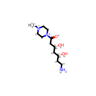 CN1CCN(C(=O)C[C@H](O)C[C@H](O)CCN)CC1